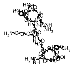 COc1ccc(C[C@H]2NC(=O)[C@H](CC(=O)O)NC(=O)CNC(=O)[C@H](CCCNC(=N)N)NC(=O)[C@H](CCCCNC(=O)CC[C@H](NC(=O)COCCOCCOCCN)C(=O)NCCCC[C@@H]3NC(=O)[C@@H](Cc4ccc(O)cc4)NC(=O)[C@H](CC(=O)O)NC(=O)CNC(=O)[C@H](CCCNC(=N)N)NC3=O)NC2=O)cc1